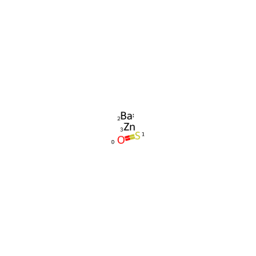 O=S.[Ba].[Zn]